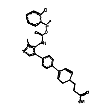 C[C@@H](OC(=O)Nc1c(-c2ccc(C3=CCC(CCC(=O)O)C=C3)cc2)cnn1C)c1ccccc1Cl